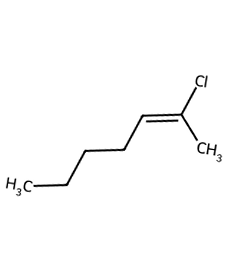 CCCC/C=C(\C)Cl